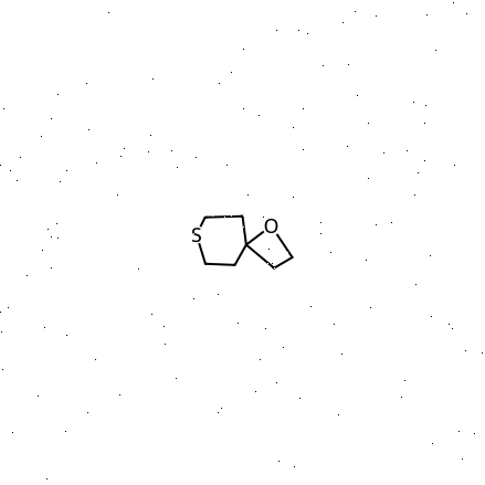 C1CC2(CCSCC2)O1